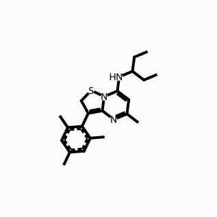 CCC(CC)NC1=CC(C)=NC2=C(c3c(C)cc(C)cc3C)CSN12